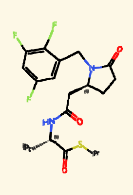 CC(C)SC(=O)[C@@H](NC(=O)C[C@@H]1CCC(=O)N1Cc1cc(F)cc(F)c1F)C(C)C